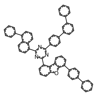 c1ccc(-c2ccc(-c3cccc4c3oc3cccc(-c5nc(-c6ccc(-c7cccc(-c8ccccc8)c7)cc6)nc(-c6cccc7c(-c8ccccc8)cccc67)n5)c34)cc2)cc1